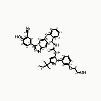 CSC(C)(C)c1cc(NC(=O)NCc2ccccc2Sc2ccc3nnc(-c4ccc(O)c(C#N)c4)n3c2)n(-c2cccc(OCCO)c2)n1